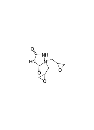 O=C1NC(=O)[N+](CC2CO2)(CC2CO2)N1